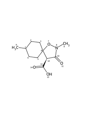 CC1CCC2(CC1)ON(C)C(=O)[C@H]2C(=O)O